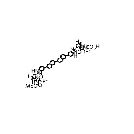 COC(=O)NC(C(=O)N1[C@@H]2C[C@@H]2C[C@H]1c1nc2cc(-c3ccc4cc(-c5ccc6cc(-c7ccc8[nH]c([C@@H]9C[C@H]%10C[C@H]%10N9C(=O)C(NC(=O)O)C(C)C)nc8c7)ccc6c5)ccc4c3)ccc2[nH]1)C(C)C